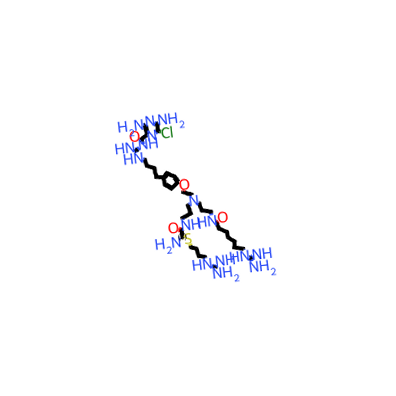 N=C(N)NCCCCCCC(=O)NCCCN(CCCNC(=O)[C@@H](N)SCCCCNC(=N)N)CCOc1ccc(CCCCNC(=N)NC(=O)c2nc(Cl)c(N)nc2N)cc1